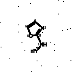 CCCNc1ncco1